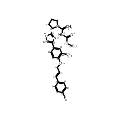 C=C(NC(=O)OC(C)(C)C)N1CCC[C@H]1c1nc(-c2ccc(OC/C=C/c3ccc(F)cc3)c(C(F)(F)F)c2)no1